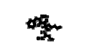 C=CCCC[C@](C)(NN[C@H](C=O)CC(C)C)C(=O)C(=O)[C@H](Cc1ccccc1)NC